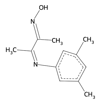 CC(=Nc1cc(C)cc(C)c1)/C(C)=N/O